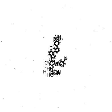 CC(CO)(NCc1cc(Cl)c(O[C@H]2CCc3c(-c4cccc(-c5ccc(S(N)(=O)=O)cc5)c4Cl)cccc32)nc1OCc1cncc(C#N)c1)C(O)O